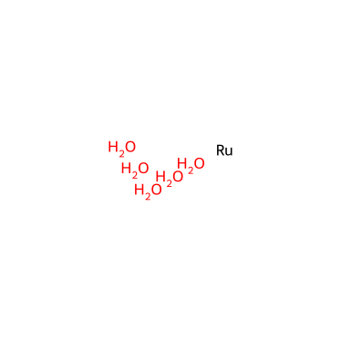 O.O.O.O.O.[Ru]